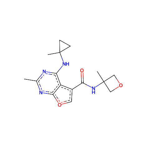 Cc1nc(NC2(C)CC2)c2c(C(=O)NC3(C)COC3)coc2n1